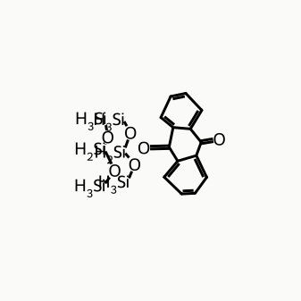 O=C1c2ccccc2C(=O)c2ccccc21.[SiH3]O[SiH2]O[SiH3].[SiH3]O[SiH2]O[SiH3]